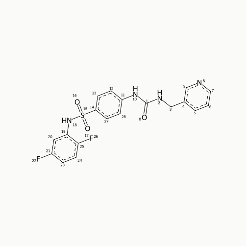 O=C(NCc1cccnc1)Nc1ccc(S(=O)(=O)Nc2cc(F)ccc2F)cc1